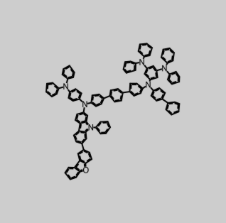 c1ccc(-c2ccc(N(c3ccc(-c4ccc(-c5ccc(N(c6ccc(N(c7ccccc7)c7ccccc7)cc6)c6ccc7c8ccc(-c9ccc%10oc%11ccccc%11c%10c9)cc8n(-c8ccccc8)c7c6)cc5)cc4)cc3)c3cc(N(c4ccccc4)c4ccccc4)cc(N(c4ccccc4)c4ccccc4)c3)cc2)cc1